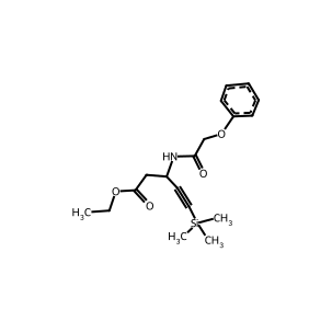 CCOC(=O)CC(C#C[Si](C)(C)C)NC(=O)COc1ccccc1